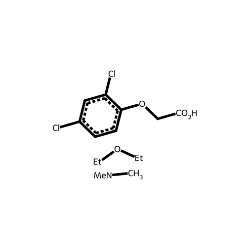 CCOCC.CNC.O=C(O)COc1ccc(Cl)cc1Cl